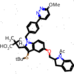 COc1ccc(-c2ccc(Cn3c(CC(C)(C)C(=O)O)c(SC(C)(C)C)c4cc(OCC5Cc6ccccc6N5C(C)=O)ccc43)cc2)nn1